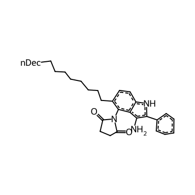 CCCCCCCCCCCCCCCCCCc1ccc2[nH]c(-c3ccccc3)c(N)c2c1N1C(=O)CCC1=O